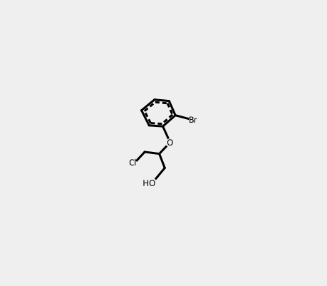 OCC(CCl)Oc1ccccc1Br